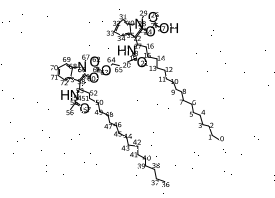 CCCCCCCCCCCCCCCCCC(NC(C)=O)c1c(OC(=O)O)n(C)c2ccccc12.CCCCCCCCCCCCCCCCCC(NC(C)=O)c1c(OC(=O)OCC)n(C)c2ccccc12